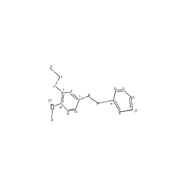 CCCc1cc(CCc2ccccc2)ccc1OC